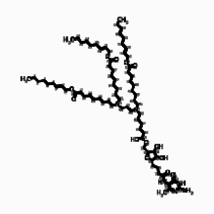 CCCCCC/C=C/COC(=O)CCCCCCCCN(CCCCCCCCC(=O)OC/C=C/CCCCCC)CCCN(CCCCCCCCC(=O)OC/C=C/CCCCCC)CCCCCC(O)OC[C@@H]1O[C@H](CCCC(=O)Nc2c(C)nc(N)[nH]c2=O)C(O)C1O